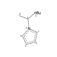 [CH2]C(CCCC)n1cccc1